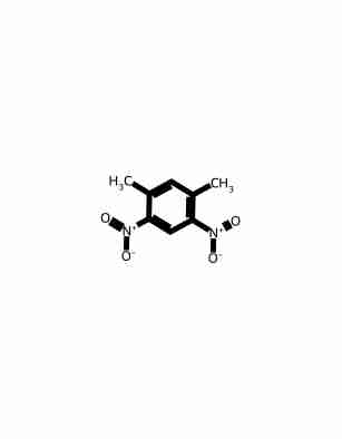 Cc1cc(C)c([N+](=O)[O-])cc1[N+](=O)[O-]